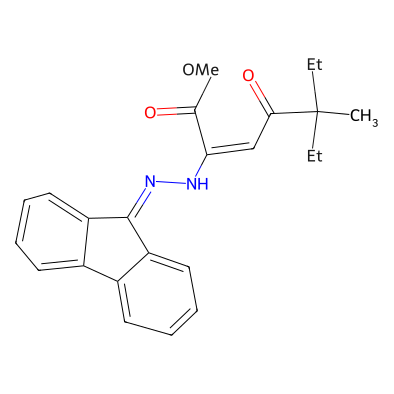 CCC(C)(CC)C(=O)C=C(NN=C1c2ccccc2-c2ccccc21)C(=O)OC